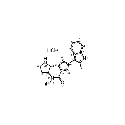 Cc1nc2ccccn2c1-c1nc(C(=O)N(C(C)C)[C@H]2CCNC2)cs1.Cl